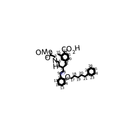 COC(=O)CNCCC(/C=C/c1ccccc1OCCCCCc1ccccc1)Cc1ccc(C(=O)O)c(C)c1